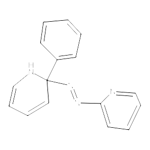 C1=CNC(N=Nc2ccccn2)(c2ccccc2)C=C1